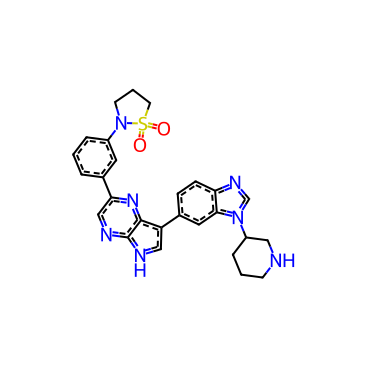 O=S1(=O)CCCN1c1cccc(-c2cnc3[nH]cc(-c4ccc5ncn(C6CCCNC6)c5c4)c3n2)c1